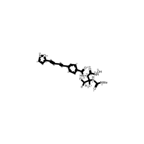 CNC(=O)NC(C)(C(F)F)[C@H](NC(=O)c1ccc(C#CC#Cc2ccno2)cc1)C(=O)NO